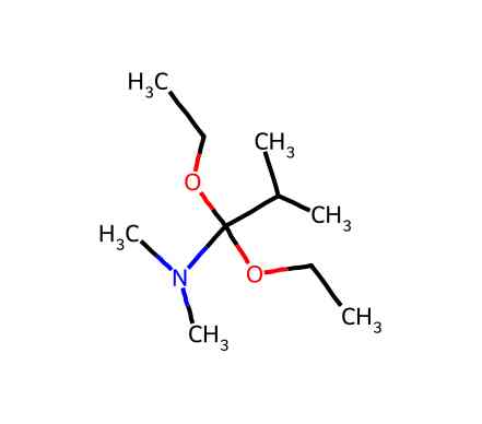 CCOC(OCC)(C(C)C)N(C)C